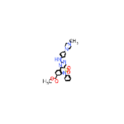 COC(=O)c1ccc2c(c1)N(c1ccccc1)S(=O)(=O)c1cnc(Nc3ccc(N4CCN(C)CC4)cc3)nc1-2